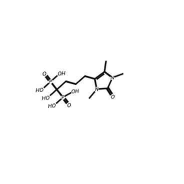 Cc1c(CCCC(O)(P(=O)(O)O)P(=O)(O)O)n(C)c(=O)n1C